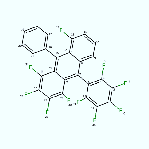 Fc1c(F)c(F)c(-c2c3cccc(F)c3c(-c3ccccc3)c3c(F)c(F)c(F)c(F)c23)c(F)c1F